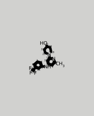 Cc1cc(Nc2cccc(C(F)(F)F)c2)cc(N2CCC(O)CC2)n1